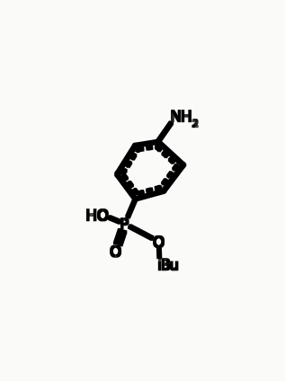 CCC(C)OP(=O)(O)c1ccc(N)cc1